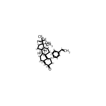 C=Cc1cccc([C@H]2C[C@@]3(C)[C@@H](CC[C@@]3(O)C(F)(F)C(F)(F)F)[C@@H]3CCC4=CC(=O)CCC4=C32)c1